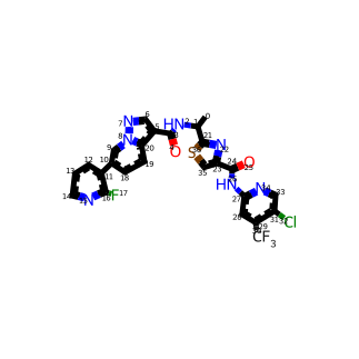 CC(NC(=O)c1cnn2cc(-c3cccnc3F)ccc12)c1nc(C(=O)Nc2cc(C(F)(F)F)c(Cl)cn2)cs1